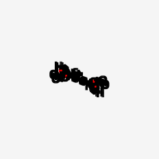 COC(=O)N[C@H](C(=O)N1C[C@@H]2CC[C@@]1(c1nc(-c3ccc(-c4ccc(-c5c[nH]c([C@@]67CC[C@@H](CN6C(=O)[C@@H](NC(=O)OC)C(C)C)C7)n5)c5scc(C)c45)cc3)c[nH]1)C2)C(C)C